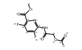 COC(=O)c1nc(NC(=O)COC(C)=O)c(F)cc1F